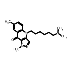 Cc1ccc2c(c1)c(=O)c1c(cnn1C)n2CCCCCCN(C)C